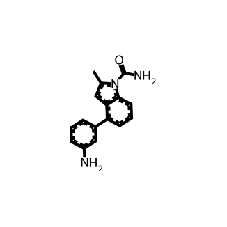 Cc1cc2c(-c3cccc(N)c3)cccc2n1C(N)=O